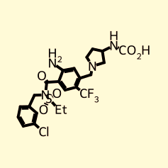 CCS(=O)(=O)N(Cc1cccc(Cl)c1)C(=O)c1cc(C(F)(F)F)c(CN2CCC(NC(=O)O)C2)cc1N